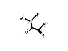 CCCC(=O)C(C)N(CCC)C(C)C